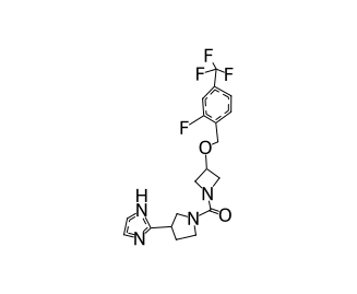 O=C(N1CC(OCc2ccc(C(F)(F)F)cc2F)C1)N1CCC(c2ncc[nH]2)C1